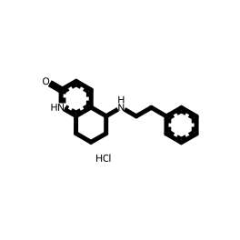 Cl.O=c1ccc2c([nH]1)CCCC2NCCc1ccccc1